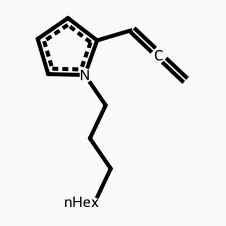 C=C=Cc1cccn1CCCCCCCCC